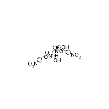 CC(C[C@H]1C[C@@H](O)CN1C(=O)OCc1ccc([N+](=O)[O-])cc1)NC(=O)OC(O)c1ccc([N+](=O)[O-])cc1